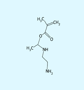 C=C(C)C(=O)OC(C)NCCN